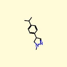 CC(C)c1ccc(C2C=NN(C)C2)cc1